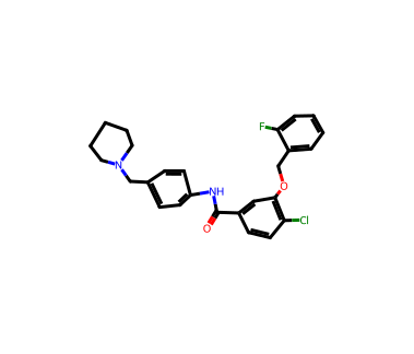 O=C(Nc1ccc(CN2CCCCC2)cc1)c1ccc(Cl)c(OCc2ccccc2F)c1